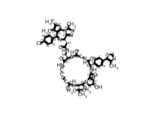 Cc1ncsc1-c1ccc([C@H]2NC(=O)[C@@H]3C[C@@H](O)CN3C(=O)[C@H](C(C)(C)C)NC(=O)COCCNC(=O)[C@@H](CNC(=O)C[C@@H]3N=C(c4ccc(Cl)cc4)c4c(sc(C)c4C)-n4c(C)nnc43)NC(=O)CNC2=O)cc1